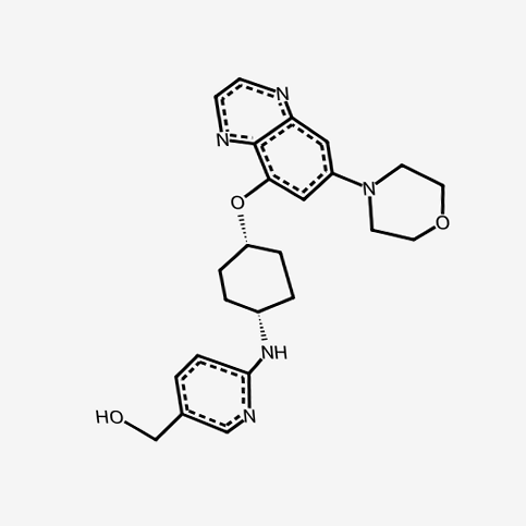 OCc1ccc(N[C@H]2CC[C@@H](Oc3cc(N4CCOCC4)cc4nccnc34)CC2)nc1